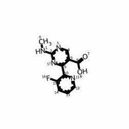 CNc1ncc(C(=O)O)c(-c2ncccc2F)n1